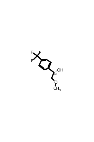 COC[C@@H](O)c1ccc(C(F)(F)F)cc1